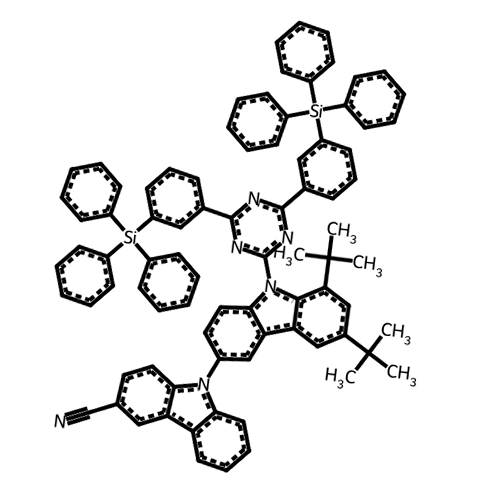 CC(C)(C)c1cc(C(C)(C)C)c2c(c1)c1cc(-n3c4ccccc4c4cc(C#N)ccc43)ccc1n2-c1nc(-c2cccc([Si](c3ccccc3)(c3ccccc3)c3ccccc3)c2)nc(-c2cccc([Si](c3ccccc3)(c3ccccc3)c3ccccc3)c2)n1